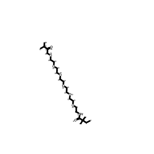 CCC(C)(C)C(=O)NCCOCCOCCOCCOCCOCCOCC(=O)C(C)C